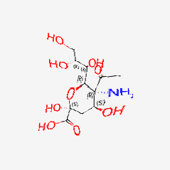 CC(=O)[C@@]1(N)[C@@H](O)C[C@@](O)(C(=O)O)O[C@H]1[C@H](O)[C@H](O)CO